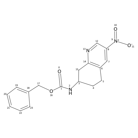 O=C(NC1CCc2cc([N+](=O)[O-])cnc2C1)OCc1ccccc1